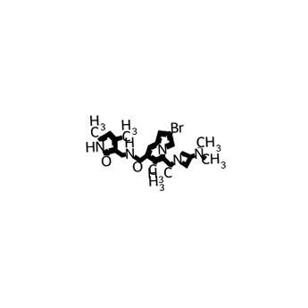 Cc1cc(C)c(CNC(=O)c2cc3cc(Br)cn3c(C(C)N3CC(N(C)C)C3)c2C)c(=O)[nH]1